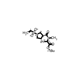 C=CS(=O)(=O)N1CC[C@H](C(=O)N(C)C(C(=O)OC(C)(C)C)C(C)C)C1